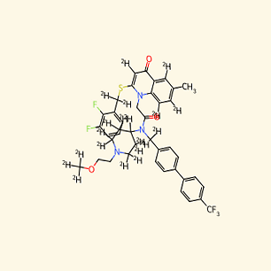 [2H]c1c(C)c([2H])c2c(=O)c([2H])c(SC([2H])([2H])c3cccc(F)c3F)n(CC(=O)N(C([2H])([2H])c3ccc(-c4ccc(C(F)(F)F)cc4)cc3)C3([2H])C([2H])([2H])C([2H])([2H])N(CCOC([2H])([2H])[2H])C([2H])([2H])C3([2H])[2H])c2c1[2H]